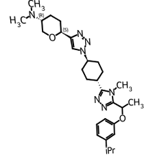 CC(C)c1cccc(OC(C)c2nnc([C@H]3CC[C@H](n4cc([C@@H]5CC[C@@H](N(C)C)CO5)nn4)CC3)n2C)c1